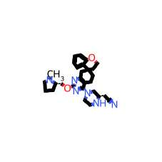 CN1CCC[C@H]1COc1nc2c(c(N3CCN[C@@H](CC#N)C3)n1)CCC1(CCOc3ccccc31)C2